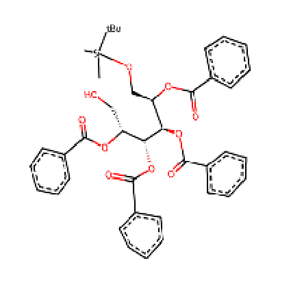 CC(C)(C)[Si](C)(C)OC[C@@H](OC(=O)c1ccccc1)[C@@H](OC(=O)c1ccccc1)[C@H](OC(=O)c1ccccc1)[C@@H](CO)OC(=O)c1ccccc1